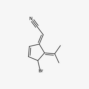 CC(C)=C1/C(=C/C#N)C=CC1Br